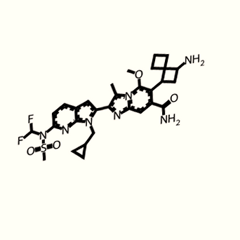 COc1c(C2CC(N)C23CCC3)c(C(N)=O)cc2nc(-c3cc4ccc(N(C(F)F)S(C)(=O)=O)nc4n3CC3CC3)c(C)n12